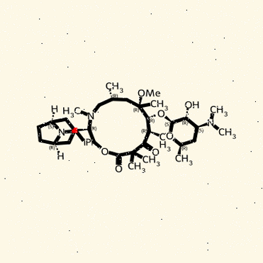 CO[C@]1(C)C[C@@H](C)CN(C)[C@H](C2C[C@H]3CC[C@@H](C2)N3CC(C)C)COC(=O)C(C)(C)C(=O)[C@H](C)[C@H]1O[C@@H]1O[C@H](C)C[C@H](N(C)C)[C@H]1O